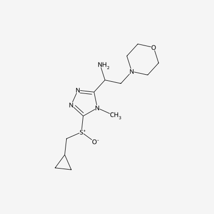 Cn1c(C(N)CN2CCOCC2)nnc1[S+]([O-])CC1CC1